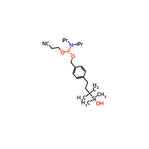 CC(C)N(C(C)C)P(OCCC#N)OCc1ccc(CCC(C)(C)[Si](C)(C)O)cc1